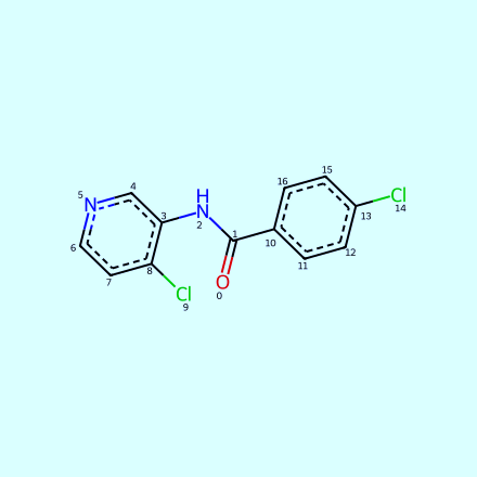 O=C(Nc1cnccc1Cl)c1ccc(Cl)cc1